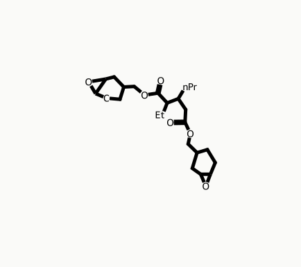 CCCC(CC(=O)OCC1CCC2OC2C1)C(CC)C(=O)OCC1CCC2OC2C1